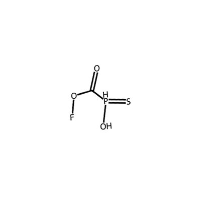 O=C(OF)[PH](O)=S